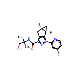 CC(C)(CO)NC(=O)c1nn(-c2cc(Cl)ccn2)c2c1C[C@H]1C[C@@H]21